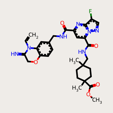 C=CN1C(=N)COc2ccc(CNC(=O)c3cc(C(=O)NCC4(C)CCC(C)(C(=O)OC)CC4)n4ncc(F)c4n3)cc21